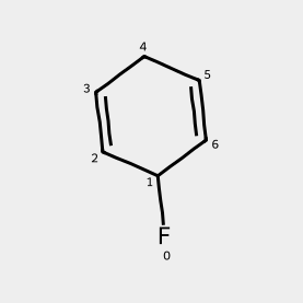 FC1C=CCC=C1